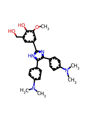 COc1cc(-c2nc(-c3ccc(N(C)C)cc3)c(-c3ccc(N(C)C)cc3)[nH]2)cc(CO)c1O